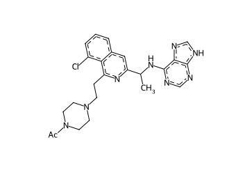 CC(=O)N1CCN(CCc2nc(C(C)Nc3ncnc4[nH]cnc34)cc3cccc(Cl)c23)CC1